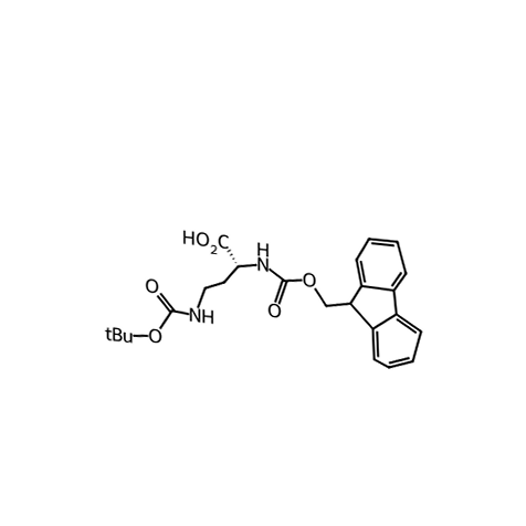 CC(C)(C)OC(=O)NCC[C@@H](NC(=O)OCC1c2ccccc2-c2ccccc21)C(=O)O